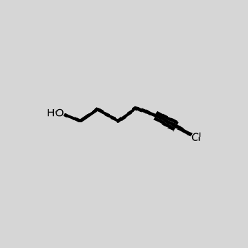 OCCCCC#CCl